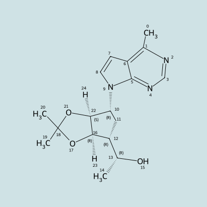 Cc1ncnc2c1ccn2[C@@H]1C[C@H]([C@@H](C)O)[C@H]2OC(C)(C)O[C@H]21